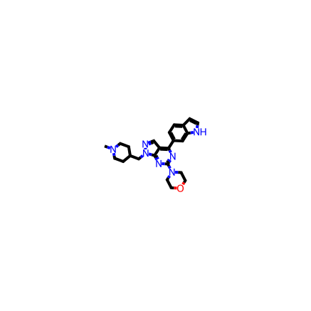 CN1CCC(Cn2ncc3c(-c4ccc5cc[nH]c5c4)nc(N4CCOCC4)nc32)CC1